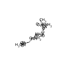 CCCCc1nc2c(N)nc3cc(C4CCN(C(=O)C5CCC(CN(N)/C=C(\N)CNC(=O)CCCC#Cc6cnc(S(C)(=O)=O)nc6)CC5)CC4)sc3c2n1CC1CCOCC1